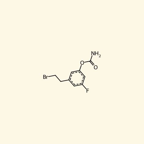 NC(=O)Oc1cc(F)cc(CCBr)c1